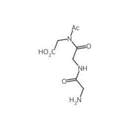 CC(=O)N(CC(=O)O)C(=O)CNC(=O)CN